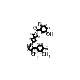 Cc1cc(-c2c(C(F)(F)F)cnn2C2CC3(C2)CN(C(=O)c2cc(O)ccc2F)C3)ccc1F